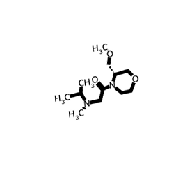 COC[C@@H]1COCCN1C(=O)CN(C)C(C)C